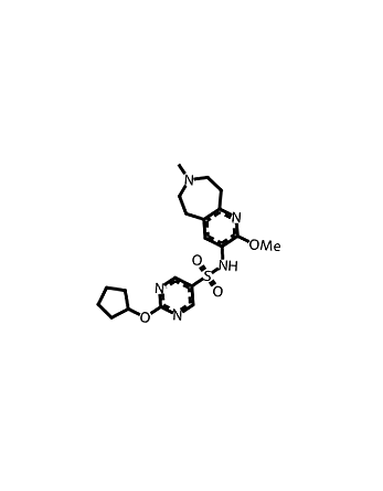 COc1nc2c(cc1NS(=O)(=O)c1cnc(OC3CCCC3)nc1)CCN(C)CC2